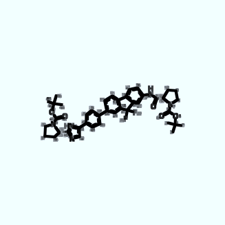 CC(C)(C)OC(=O)N1CCC[C@H]1C(=O)Nc1ccc2c(c1)C(F)(F)c1cc(-c3ccc(-c4cnc([C@@H]5CCCN5C(=O)OC(C)(C)C)[nH]4)cc3)ccc1-2